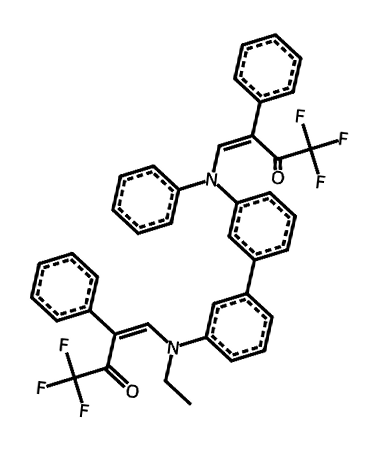 CCN(/C=C(\C(=O)C(F)(F)F)c1ccccc1)c1cccc(-c2cccc(N(/C=C(\C(=O)C(F)(F)F)c3ccccc3)c3ccccc3)c2)c1